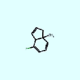 CC12C=CC=C(F)C1C=CC2